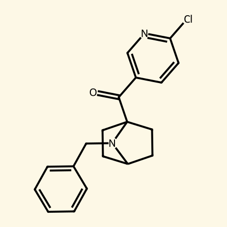 O=C(c1ccc(Cl)nc1)C12CCC(CC1)N2Cc1ccccc1